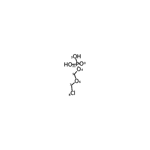 O=P(O)(O)OCOCCl